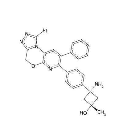 CCc1nnc2n1-c1cc(-c3ccccc3)c(-c3ccc([C@]4(N)C[C@@](C)(O)C4)cc3)nc1OC2